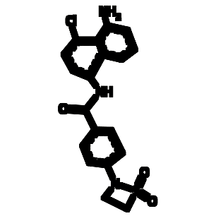 Nc1cccc2c(NC(=O)c3ccc(N4CCS4(=O)=O)cc3)ccc(Cl)c12